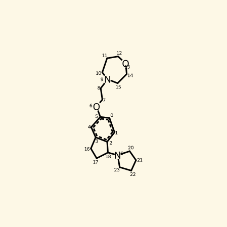 c1cc2c(cc1OCCN1CCCOCC1)CCC2N1CCCC1